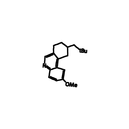 COc1ccc2ncc3c(c2c1)CC(CC(C)(C)C)CC3